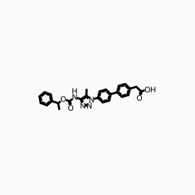 Cc1c(NC(=O)OC(C)c2ccccc2)nnn1-c1ccc(-c2ccc(CC(=O)O)cc2)cc1